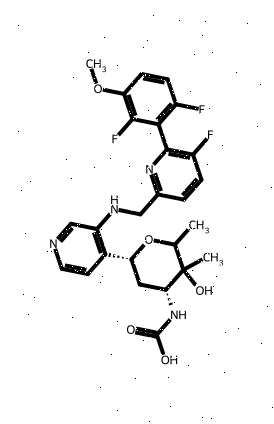 COc1ccc(F)c(-c2nc(CNc3cnccc3[C@H]3C[C@@H](NC(=O)O)C(C)(O)C(C)O3)ccc2F)c1F